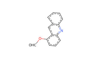 O=COc1cccc2nc3ccccc3cc12